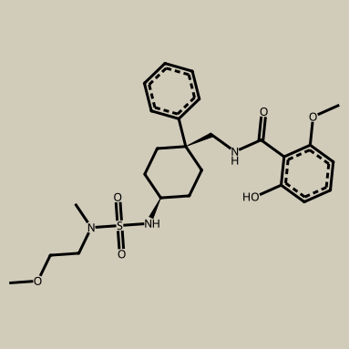 COCCN(C)S(=O)(=O)N[C@H]1CC[C@](CNC(=O)c2c(O)cccc2OC)(c2ccccc2)CC1